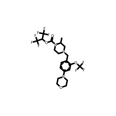 CC1CN(Cc2ccc(N3CCOCC3)cc2OC(F)(F)F)CCN1C(=O)OC(C(F)(F)F)C(F)(F)F